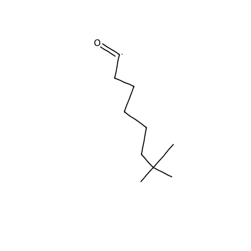 CC(C)(C)CCCCC[C]=O